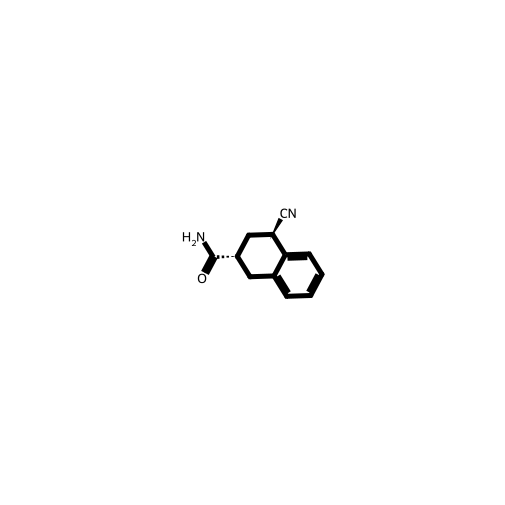 N#C[C@@H]1C[C@@H](C(N)=O)Cc2ccccc21